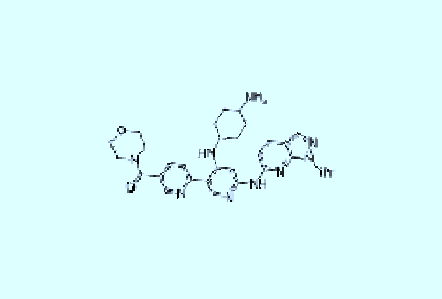 CC(C)n1ncc2ccc(Nc3cc(NC4CCC(N)CC4)c(-c4ccc(C(=O)N5CCOCC5)cn4)cn3)nc21